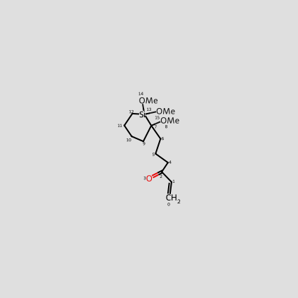 C=CC(=O)CCCC1(OC)CCCC[Si]1(OC)OC